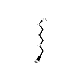 C#CCOCCCSC